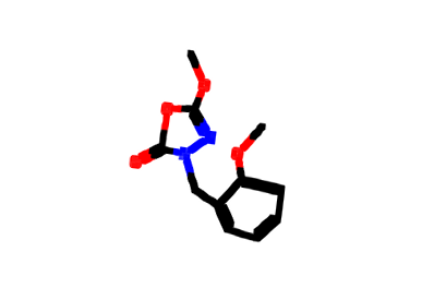 COc1nn(Cc2ccccc2OC)c(=O)o1